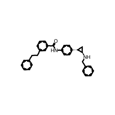 O=C(Nc1ccc([C@@H]2C[C@H]2NCc2ccccc2)cc1)c1cccc(CCc2ccccc2)c1